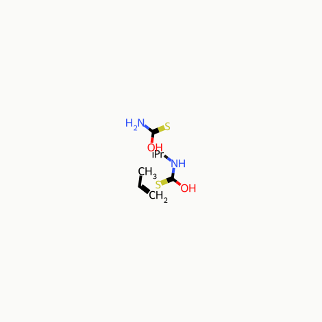 C=CC.CC(C)NC(O)=S.NC(O)=S